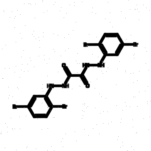 O=C(NNc1cc(Br)ccc1Br)C(=O)NNc1cc(Br)ccc1Br